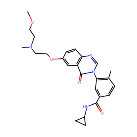 COCCN(C)CCOc1ccc2ncn(-c3cc(C(=O)NC4CC4)ccc3C)c(=O)c2c1